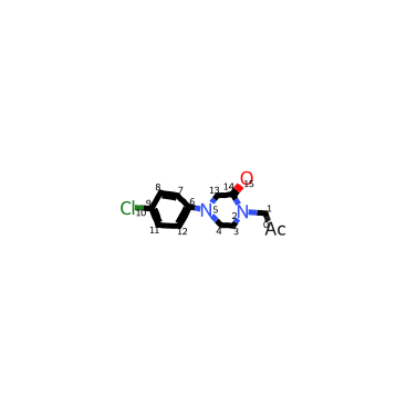 CC(=O)CN1CCN(c2ccc(Cl)cc2)CC1=O